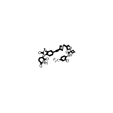 Cn1c(=O)n(C2CCC(=O)NC2=O)c2ccc(C#CC3CN(Cc4cnn(C5(C(=O)Nc6ccc(C(F)(F)F)cc6Cl)CCC5)c4)C3)cc21